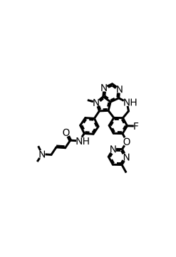 Cc1ccnc(Oc2ccc3c(c2F)CNc2ncnc4c2c-3c(-c2ccc(NC(=O)/C=C/CN(C)C)cc2)n4C)n1